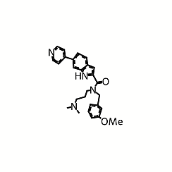 COc1cccc(CN(CCCN(C)C)C(=O)c2cc3ccc(-c4ccncc4)cc3[nH]2)c1